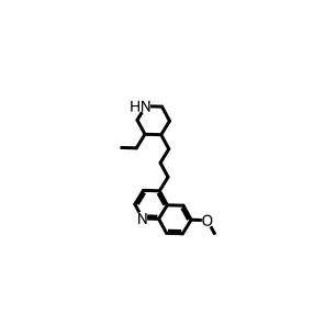 CCC1CNCCC1CCCc1ccnc2ccc(OC)cc12